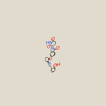 O=C1CCC(N2Cc3cc(O[C@H]4CCCC[C@H]4N4CC(c5ccccc5O)C4)ccc3C2=O)C(=O)N1